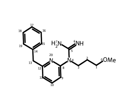 COCCCN(C(=N)N)c1cccc(Cc2ccccc2)n1